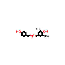 CC(C)(C)c1cc(COOCCc2ccc(O)cc2)cc(C(C)(C)C)c1O